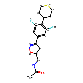 CC(=O)NCC1CC(c2cc(F)c(C3CCSCC3)c(F)c2)=NO1